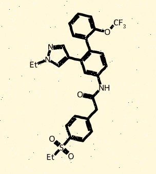 CCn1cc(-c2cc(NC(=O)Cc3ccc(S(=O)(=O)CC)cc3)ccc2-c2ccccc2OC(F)(F)F)cn1